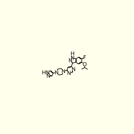 CC(C)Oc1cc2c(-c3cc(N4CCN(c5cn[nH]c5)CC4)ncn3)n[nH]c2cc1F